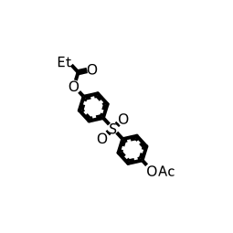 CCC(=O)Oc1ccc(S(=O)(=O)c2ccc(OC(C)=O)cc2)cc1